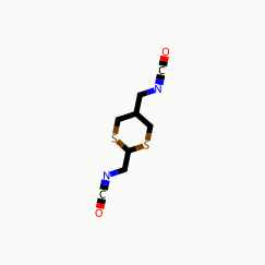 O=C=NCC1CSC(CN=C=O)SC1